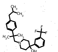 CC(C)Cc1ccc(C(C)(C)CN2CCC(O)(c3cccc(C(F)(F)F)c3)CC2)cc1